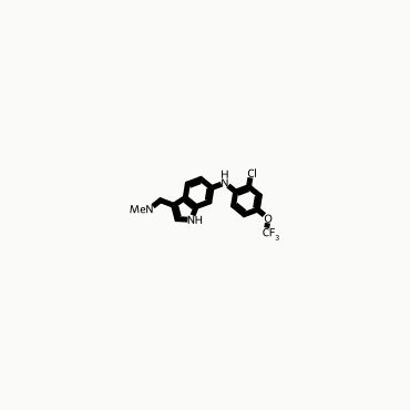 CNCc1c[nH]c2cc(Nc3ccc(OC(F)(F)F)cc3Cl)ccc12